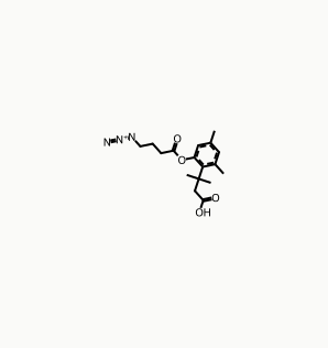 Cc1cc(C)c(C(C)(C)CC(=O)O)c(OC(=O)CCCN=[N+]=[N-])c1